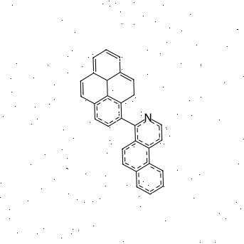 C1=CC2=CCc3c(-c4nccc5c4ccc4ccccc45)ccc4c3C2C(=C1)C=C4